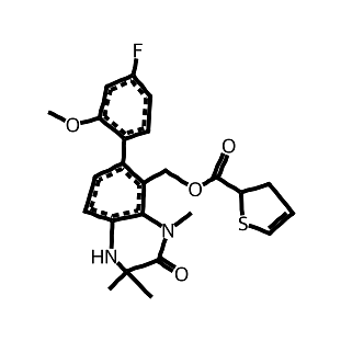 COc1cc(F)ccc1-c1ccc2c(c1COC(=O)C1CC=CS1)N(C)C(=O)C(C)(C)N2